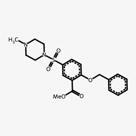 COC(=O)c1cc(S(=O)(=O)N2CCN(C)CC2)ccc1OCc1ccccc1